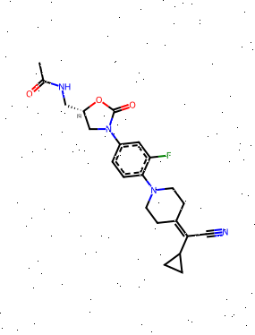 CC(=O)NC[C@H]1CN(c2ccc(N3CCC(=C(C#N)C4CC4)CC3)c(F)c2)C(=O)O1